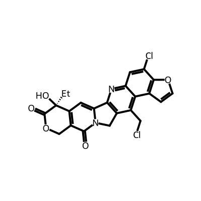 CC[C@@]1(O)C(=O)OCc2c1cc1n(c2=O)Cc2c-1nc1cc(Cl)c3occc3c1c2CCl